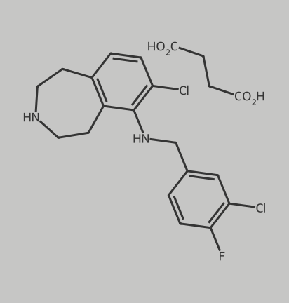 Fc1ccc(CNc2c(Cl)ccc3c2CCNCC3)cc1Cl.O=C(O)CCC(=O)O